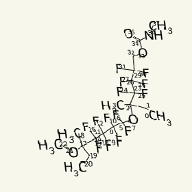 CCC(C)(OC(F)(F)C(F)(F)C(F)(F)C(F)(F)C(C)(CC)OC)C(F)(F)C(F)(F)C(F)(F)COC(=O)NC